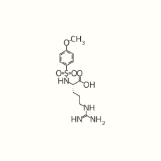 COc1ccc(S(=O)(=O)N[C@@H](CCCNC(=N)N)C(=O)O)cc1